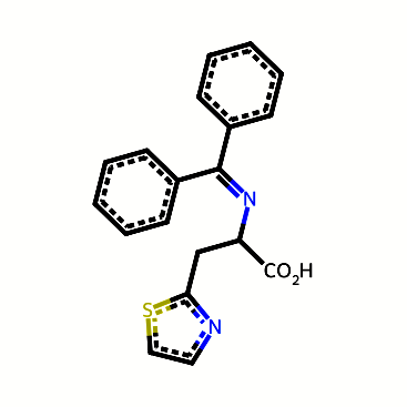 O=C(O)C(Cc1nccs1)N=C(c1ccccc1)c1ccccc1